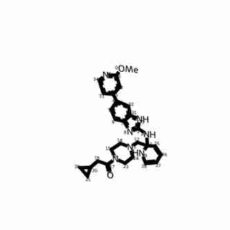 COc1cc(-c2ccc3nc(NC4(CN5CCN(C(=O)CC6CC6)CC5)C=CC=CN4)[nH]c3c2)ccn1